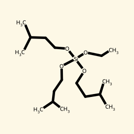 CCO[Si](OCCC(C)C)(OCCC(C)C)OCCC(C)C